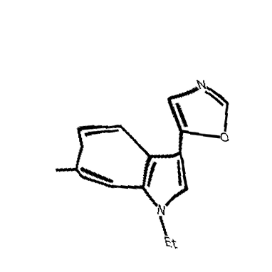 CCn1cc(-c2cnco2)c2ccc(C)cc21